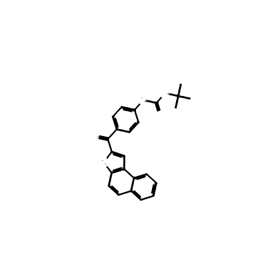 CC(C)(C)OC(=O)Nc1ccc(C(=O)c2cc3c(ccc4ccccc43)[nH]2)cc1